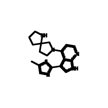 Cc1cnc(-c2c[nH]c3nccc(N4CCC5(CCCN5)C4)c23)s1